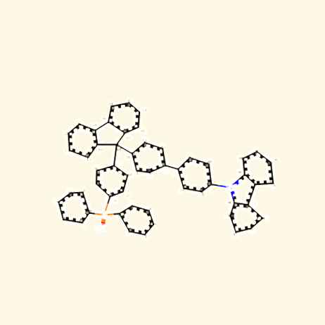 O=P(c1ccccc1)(c1ccccc1)c1ccc(C2(c3ccc(-c4ccc(-n5c6ccccc6c6ccccc65)cc4)cc3)c3ccccc3-c3ccccc32)cc1